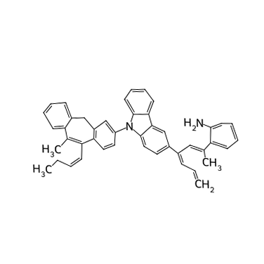 C=C/C=C(\C=C(/C)c1ccccc1N)c1ccc2c(c1)c1ccccc1n2-c1ccc2c(c1)Cc1ccccc1C(C)=C2/C=C\CC